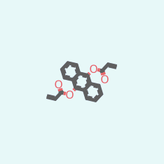 C=CC(=O)Oc1c2ccccc2c(OC(=O)C=C)c2ccccc12